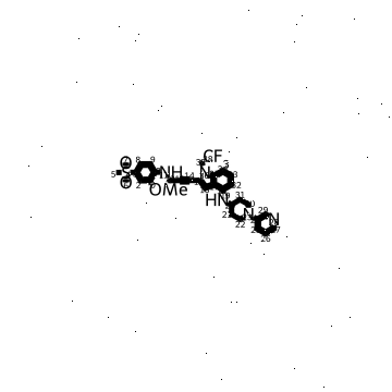 COc1cc(S(C)(=O)=O)ccc1NCC#Cc1cc2c(NC3CCN(c4cccnc4)CC3)cccc2n1CC(F)(F)F